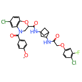 COc1ccc(C(=O)N2CC(C(=O)NC34CC(C3)C(NC(=O)COc3ccc(Cl)c(F)c3)C4)Oc3ccc(Cl)cc32)cc1